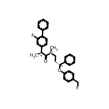 C[C@H](C(=O)N(C)CC[C@@H](Oc1ccc(CF)cc1)c1ccccc1)c1ccc(-c2ccccc2)c(F)c1